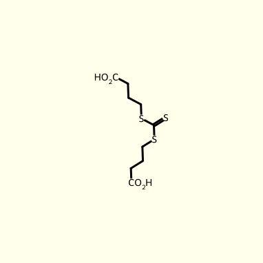 O=C(O)CCCSC(=S)SCCCC(=O)O